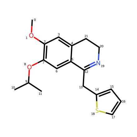 COc1cc2c(cc1OC(C)C)C(Cc1cccs1)=NCC2